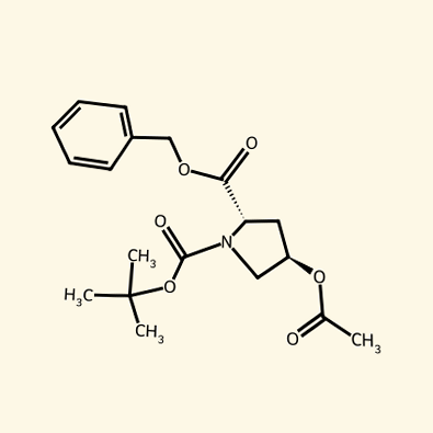 CC(=O)O[C@@H]1C[C@@H](C(=O)OCc2ccccc2)N(C(=O)OC(C)(C)C)C1